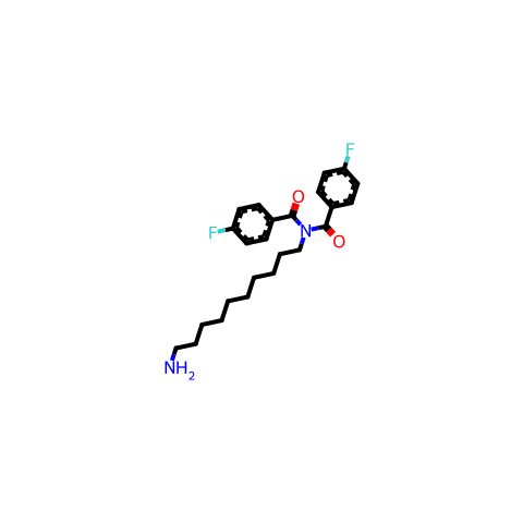 NCCCCCCCCCCN(C(=O)c1ccc(F)cc1)C(=O)c1ccc(F)cc1